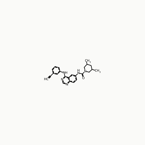 C#Cc1cccc(Nc2ncnc3ccc(NC(=O)N4CC(C)CC(C)C4)cc23)c1